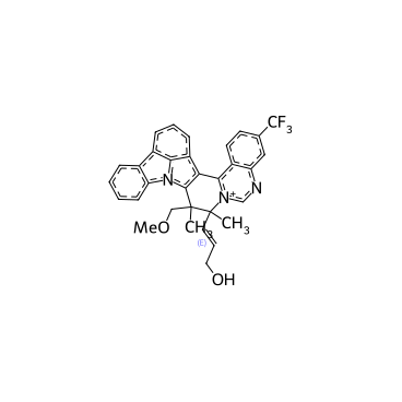 COCC1(C)c2c(c3cccc4c5ccccc5n2c34)-c2c3ccc(C(F)(F)F)cc3nc[n+]2C1(C)/C=C/CO